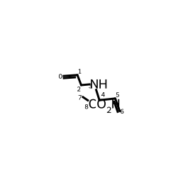 C=CCNCC=C.CC(=O)O